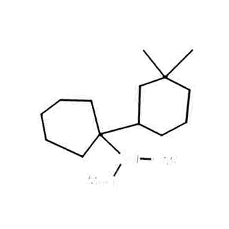 CO[SiH](OC)C1(C2CCCC(C)(C)C2)CCCCC1